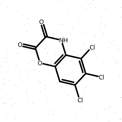 O=c1[nH]c2c(Cl)c(Cl)c(Cl)cc2oc1=O